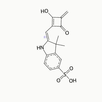 C=C1C(=O)C(/C=C2/Nc3ccc(S(=O)(=O)O)cc3C2(C)C)=C1O